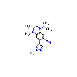 CC(C)N1C[C@@H](C)N(C)c2cc(-c3cnn(C)c3)c(C#N)cc21